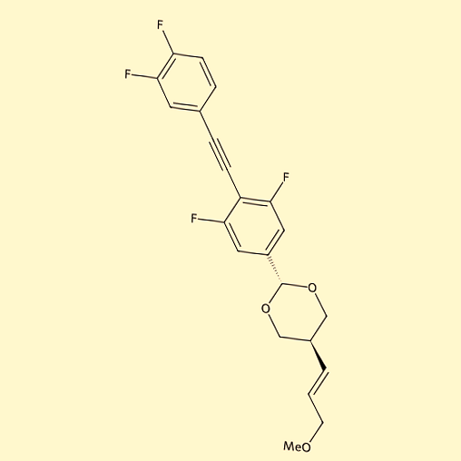 COCC=C[C@H]1CO[C@H](c2cc(F)c(C#Cc3ccc(F)c(F)c3)c(F)c2)OC1